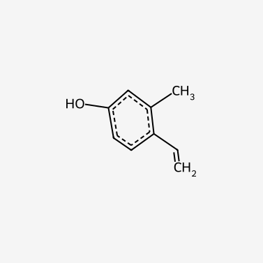 C=Cc1ccc(O)cc1C